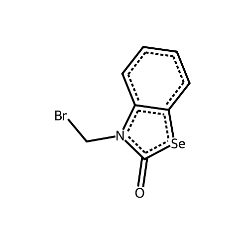 O=c1[se]c2ccccc2n1CBr